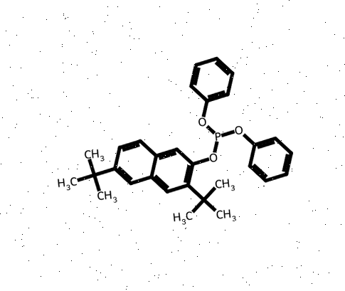 CC(C)(C)c1ccc2cc(OP(Oc3ccccc3)Oc3ccccc3)c(C(C)(C)C)cc2c1